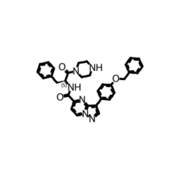 O=C(N[C@@H](Cc1ccccc1)C(=O)N1CCNCC1)c1ccn2ncc(-c3ccc(OCc4ccccc4)cc3)c2n1